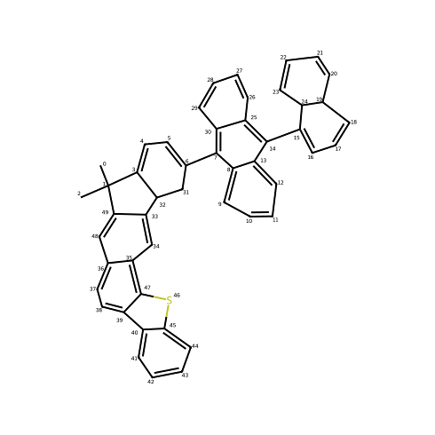 CC1(C)C2=CC=C(c3c4ccccc4c(C4=CC=CC5C=CC=CC45)c4ccccc34)CC2c2cc3c(ccc4c5ccccc5sc34)cc21